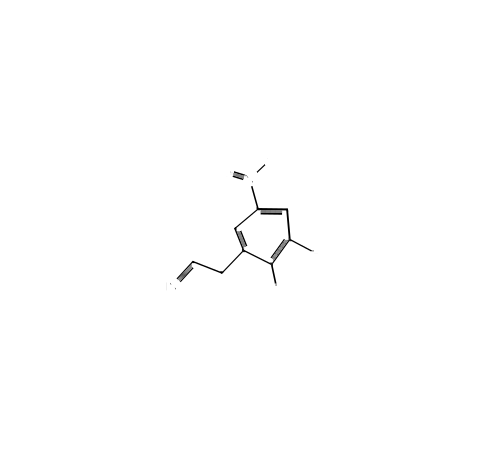 N=CCc1cc([N+](=O)[O-])cc(F)c1F